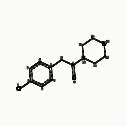 O=C(Cc1ccc(Cl)cc1)N1CC[N]CC1